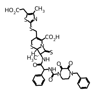 Cc1nc(SCC2=C(C(=O)O)N3C(=S)[C@@](C)(NC(=O)C(NC(=O)N4CCN(Cc5ccccc5)C(=O)C4=O)c4ccccc4)[C@@H]3SC2)sc1CC(=O)O